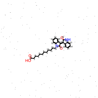 O=C(O)CCCCCCCCCCCN1C(=O)C(=C2C(=O)Nc3ccccc32)c2ccccc21